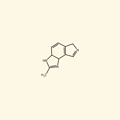 CC1=NC2C3=C(C=CC2N1)CN=C3